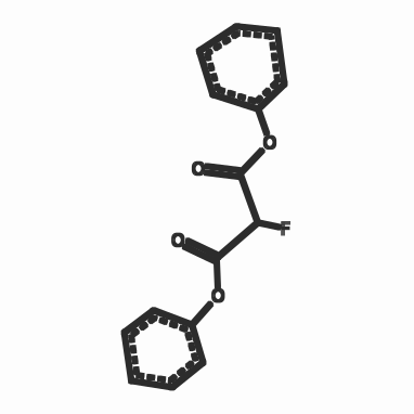 O=C(Oc1ccccc1)C(F)C(=O)Oc1ccccc1